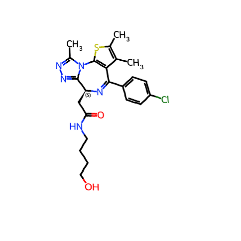 Cc1sc2c(c1C)C(c1ccc(Cl)cc1)=N[C@@H](CC(=O)NCCCCO)c1nnc(C)n1-2